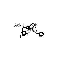 CC(=O)N[C@@H](Cc1cc(F)cc(F)c1)[C@@H](O)CC(CO)NC(=O)COCc1ccccc1